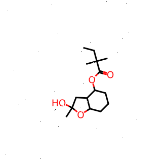 CCC(C)(C)C(=O)OC1CCCC2OC(C)(O)CC12